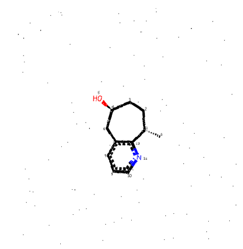 C[C@H]1CC[C@H](O)Cc2cccnc21